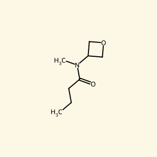 CCCC(=O)N(C)C1COC1